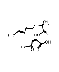 C=C(CCCC=CC)C(=O)O.O=C(O)/C=C\C(=O)O